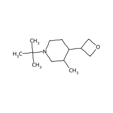 CC1CN(C(C)(C)C)CCC1C1COC1